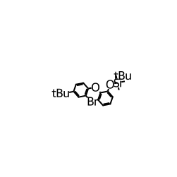 CC(C)(C)c1ccc(Oc2ccccc2O[Si](C)(C)C(C)(C)C)c(Br)c1